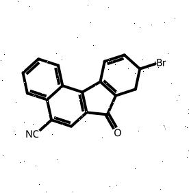 N#Cc1cc2c(c3ccccc13)C1=C(CC(Br)C=C1)C2=O